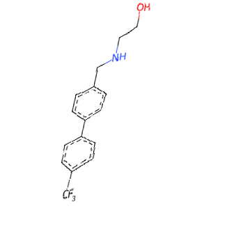 OCCNCc1ccc(-c2ccc(C(F)(F)F)cc2)cc1